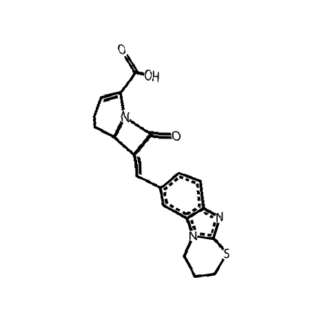 O=C(O)C1=CCC2C(=Cc3ccc4nc5n(c4c3)CCCS5)C(=O)N12